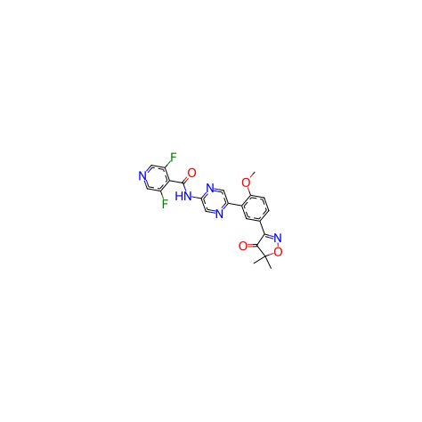 COc1ccc(C2=NOC(C)(C)C2=O)cc1-c1cnc(NC(=O)c2c(F)cncc2F)cn1